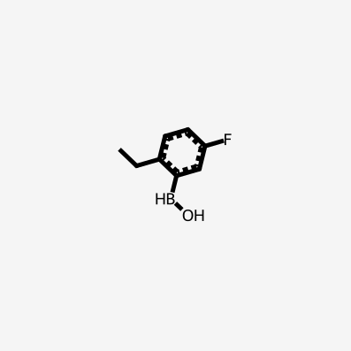 CCc1ccc(F)cc1BO